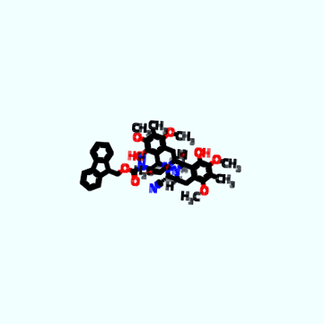 C=CCN1[C@@H]2c3c(O)c(OC)c(C)c(OC)c3C[C@H]1[C@H](C#N)N1[C@@H](CNC(=O)OCC3c4ccccc4-c4ccccc43)c3c(O)c(OC)c(C)c(OC)c3C[C@@H]21